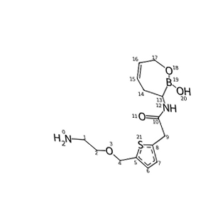 NCCOCc1ccc(CC(=O)NC2CC=CCOB2O)s1